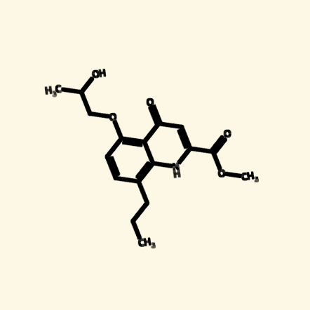 CCCc1ccc(OCC(C)O)c2c(=O)cc(C(=O)OC)[nH]c12